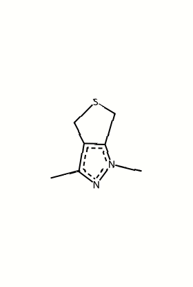 Cc1nn(C)c2c1CSC2